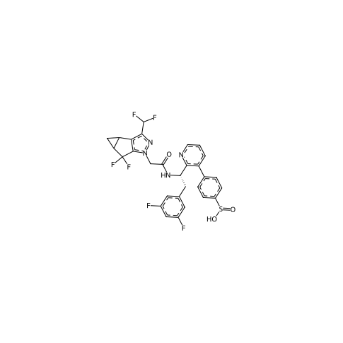 O=C(Cn1nc(C(F)F)c2c1C(F)(F)C1CC21)N[C@@H](Cc1cc(F)cc(F)c1)c1ncccc1-c1ccc(S(=O)O)cc1